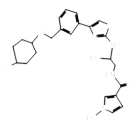 Cn1ccc(C(=O)NCC(O)Nc2nc(-c3cccc(COC4CCC(O)CC4)c3)cs2)c1